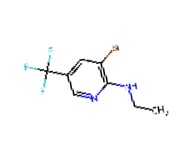 CCNc1ncc(C(F)(F)F)cc1Br